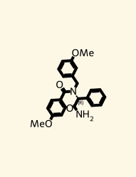 COc1ccc(C(=O)N(Cc2cccc(OC)c2)[C@@H](C(N)=O)c2ccccc2)cc1